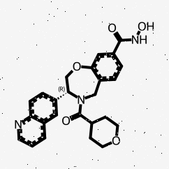 O=C(NO)c1ccc2c(c1)OC[C@@H](c1ccc3ncccc3c1)N(C(=O)C1CCOCC1)C2